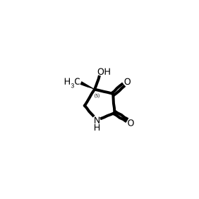 C[C@]1(O)CNC(=O)C1=O